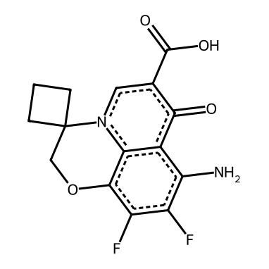 Nc1c(F)c(F)c2c3c1c(=O)c(C(=O)O)cn3C1(CCC1)CO2